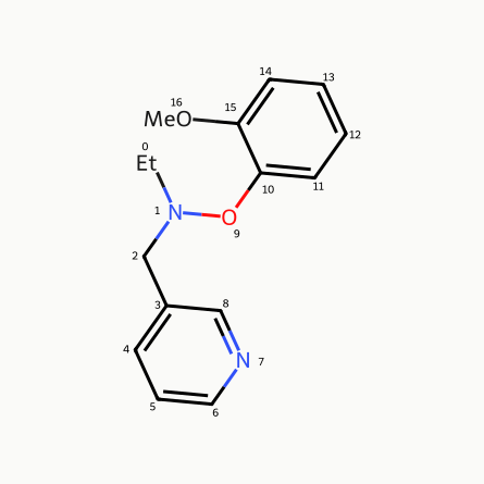 CCN(Cc1cccnc1)Oc1ccccc1OC